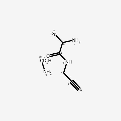 C#CCNC(=O)C(N)C(C)C.NC(=O)O